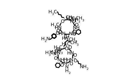 CCCCCC[C@H]1OC[C@@H](C)NC(=O)[C@H](COc2ccc(CN)cc2)NC(=O)[C@H](CNC(CCC[C@H]2OC(=O)CNC(=O)[C@H](COCCCN)NC(=O)[C@H](CN)NC(=O)[C@H](C3CCCCC3)NC(=O)[C@H](CC(C)C)N(C)C(=O)[C@@H]2C)C(C)(C)C)NC(=O)[C@H](C2CCCCC2)NC(=O)[C@H](CC(C)C)N(C)C(=O)[C@@H]1C